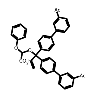 C=CC(OC(Oc1ccccc1)C(=O)O)(c1ccc(-c2cccc(C(C)=O)c2)cc1)c1ccc(-c2cccc(C(C)=O)c2)cc1